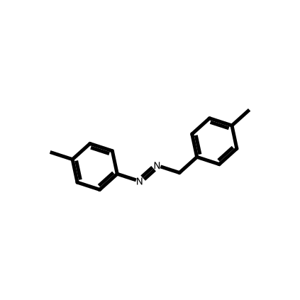 Cc1ccc(CN=Nc2ccc(C)cc2)cc1